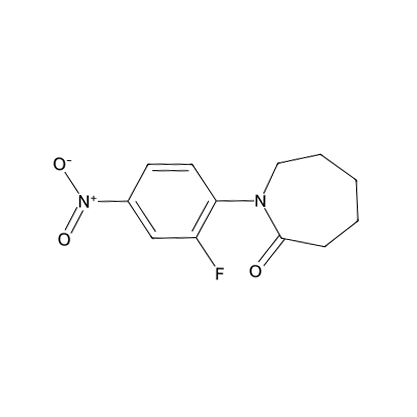 O=C1CCCCCN1c1ccc([N+](=O)[O-])cc1F